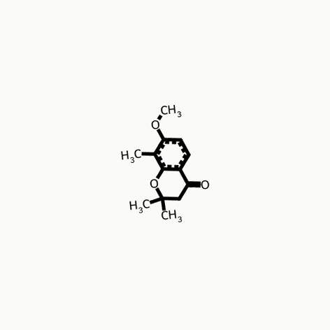 COc1ccc2c(c1C)OC(C)(C)CC2=O